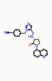 N#Cc1ccc(Cn2cncc2CN[C@@H]2CCN(c3cccc4ncccc34)C2=O)cc1